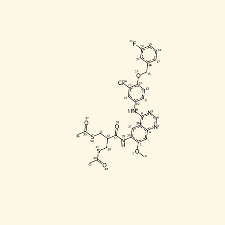 COc1cc2ncnc(Nc3ccc(OCc4cccc(F)c4)c(Cl)c3)c2cc1NC(=O)C(CSC(C)=O)CSC(C)=O